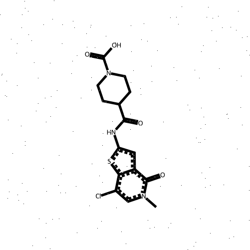 Cn1cc(Cl)c2sc(NC(=O)C3CCN(C(=O)O)CC3)cc2c1=O